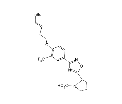 CCCCC=CCCOc1ccc(-c2noc(C3CCCN3C(=O)O)n2)cc1C(F)(F)F